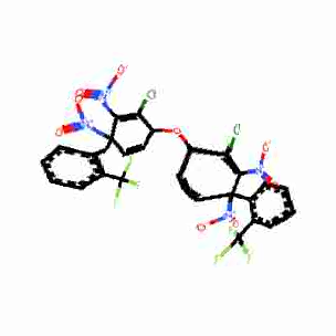 O=[N+]([O-])C1=C(Cl)C(OC2C=CC(c3ccccc3C(F)(F)F)([N+](=O)[O-])C([N+](=O)[O-])=C2Cl)C=CC1(c1ccccc1C(F)(F)F)[N+](=O)[O-]